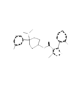 Cc1onc(-c2ccccc2Cl)c1C(=O)NC1CCC(c2cccc(F)c2)(N(C)C)CC1